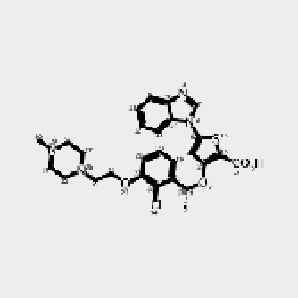 C[C@@H](Oc1cc(-n2cnc3ccccc32)sc1C(=O)O)c1cccc(OCCN2CCN(C)CC2)c1Cl